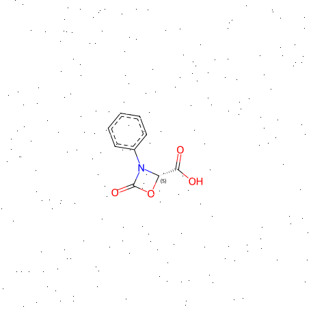 O=C(O)[C@@H]1OC(=O)N1c1ccccc1